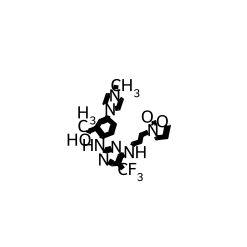 CC(O)c1cc(N2CCN(C)CC2)ccc1Nc1ncc(C(F)(F)F)c(NCCCN2CC=COC2=O)n1